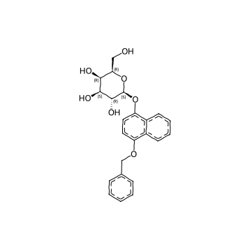 OC[C@H]1O[C@@H](Oc2ccc(OCc3ccccc3)c3ccccc23)[C@H](O)[C@@H](O)[C@H]1O